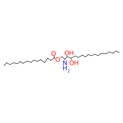 CCCCCCCCCCCCCCCC(=O)OCC(N)C(O)C(O)CCCCCCCCCCCCCC